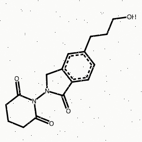 O=C1c2ccc(CCCO)cc2CN1N1C(=O)CCCC1=O